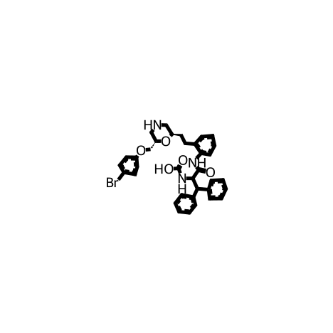 O=C(O)NC(C(=O)Nc1ccccc1CC[C@@H]1CNC[C@@H](COc2ccc(Br)cc2)O1)C(c1ccccc1)c1ccccc1